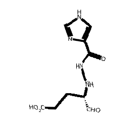 O=C[C@H](CCC(=O)O)NNC(=O)c1c[nH]cn1